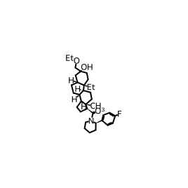 CCOC[C@@]1(O)CC[C@@]2(CC)[C@H](CC[C@H]3[C@@H]4CC[C@H](C(=O)N5CCCC[C@@H]5c5ccc(F)cc5)[C@@]4(C)CC[C@@H]32)C1